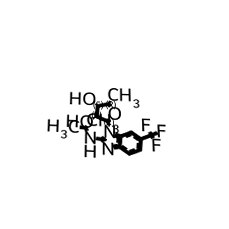 CC(C)Nc1nc2ccc(C(F)(F)F)cc2n1[C@@H]1O[C@H](C)[C@@H](O)[C@H]1O